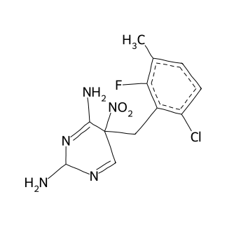 Cc1ccc(Cl)c(CC2([N+](=O)[O-])C=NC(N)N=C2N)c1F